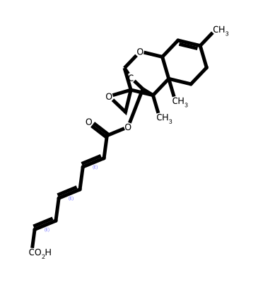 CC1=CC2OC3CC(OC(=O)/C=C/C=C/C=C/C(=O)O)C(C)(C2(C)CC1)C31CO1